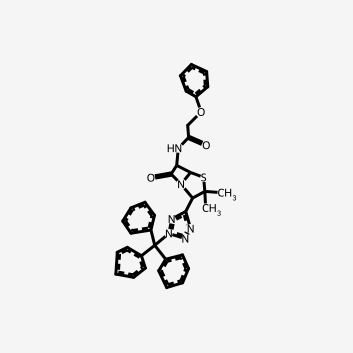 CC1(C)SC2C(NC(=O)COc3ccccc3)C(=O)N2C1c1nnn(C(c2ccccc2)(c2ccccc2)c2ccccc2)n1